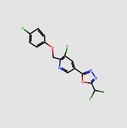 Fc1ccc(OCc2ncc(-c3nnc(C(F)F)o3)cc2F)cc1